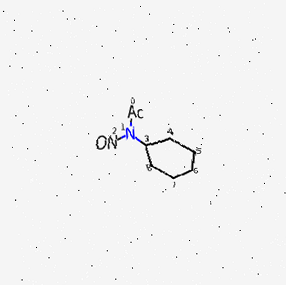 CC(=O)N(N=O)C1CCCCC1